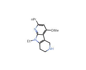 CCCc1cc(OC)c2c3c(n(CC)c2n1)CCNC3